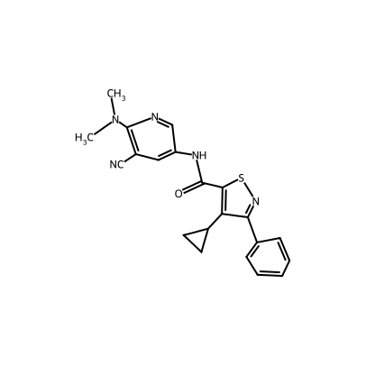 CN(C)c1ncc(NC(=O)c2snc(-c3ccccc3)c2C2CC2)cc1C#N